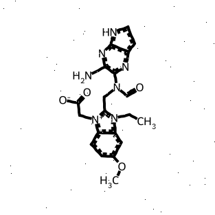 CCn1c(CN(C=O)c2nc3cc[nH]c3nc2N)[n+](CC(=O)[O-])c2ccc(OC)cc21